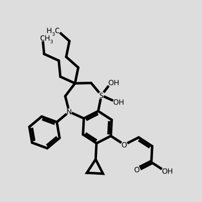 CCCCC1(CCCC)CN(c2ccccc2)c2cc(C3CC3)c(O/C=C\C(=O)O)cc2S(O)(O)C1